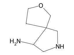 NC1CNCC12CCOC2